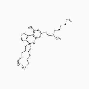 CCCCCCC1(CCCCCC)Oc2cc(CCC(C)CCCCC)cc(O)c2C2=C1SCC2